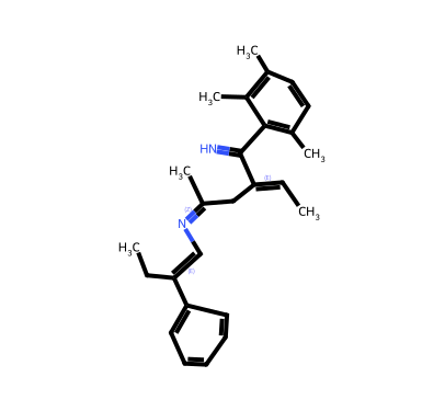 C/C=C(\C/C(C)=N\C=C(/CC)c1ccccc1)C(=N)c1c(C)ccc(C)c1C